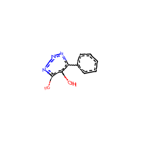 Oc1nnnc(-c2ccccc2)c1O